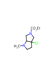 CCOC(=O)N1CC2N(C)CCC2(Cl)C1